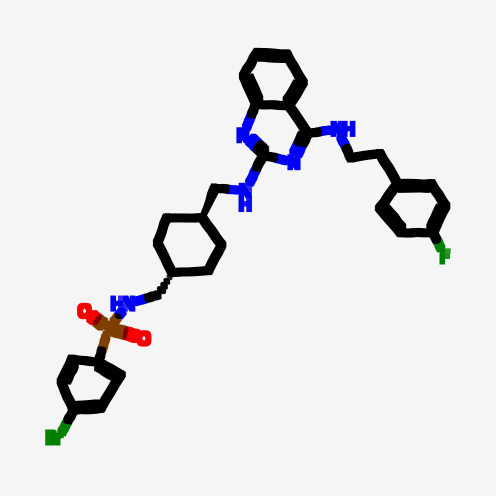 O=S(=O)(NC[C@H]1CC[C@H](CNc2nc(NCCc3ccc(F)cc3)c3ccccc3n2)CC1)c1ccc(Br)cc1